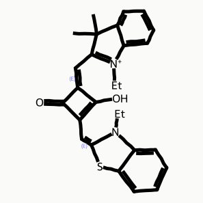 CCN1/C(=C\C2=C(O)C(=C\C3=[N+](CC)c4ccccc4C3(C)C)/C2=O)Sc2ccccc21